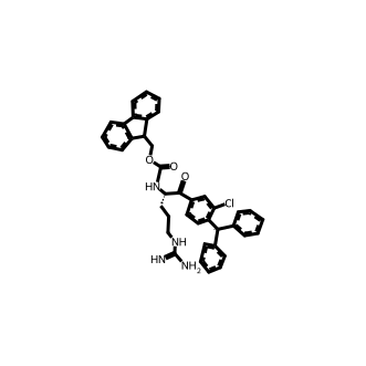 N=C(N)NCCC[C@H](NC(=O)OCC1c2ccccc2-c2ccccc21)C(=O)c1ccc([C](c2ccccc2)c2ccccc2)c(Cl)c1